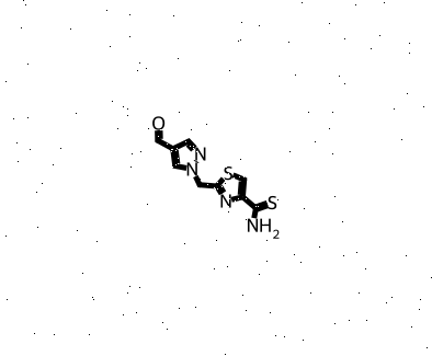 NC(=S)c1csc(Cn2cc(C=O)cn2)n1